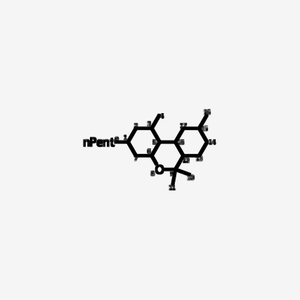 CCCCCC1CC(C)C2C(C1)OC(C)(C)C1CCC(C)CC21